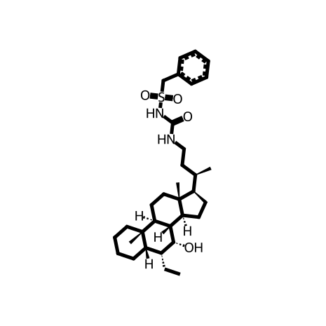 CC[C@H]1[C@@H](O)[C@@H]2[C@H](CC[C@]3(C)[C@@H]([C@H](C)CCNC(=O)NS(=O)(=O)Cc4ccccc4)CC[C@@H]23)[C@@]2(C)CCCC[C@@H]12